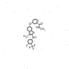 CNC(=O)c1cc(Oc2ccc3c(c2)nc(Nc2ccc(F)c(C(F)(F)F)c2)n3C)ccn1